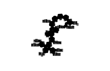 CCCCCCCCCCc1cc(-c2c3cc(-c4sc(-c5cc6c(cc(-c7cc(CCCCCC)c(-c8ccc(-c9ccc(-c%10ccc(-c%11sc(C)cc%11CC(CCCCCC)CCCCCCCC)s%10)s9)s8)s7)c7nsnc76)c6nsnc56)cc4CCCCCC)sc3c(-c3cc(CCCCCCCCCC)c(CCCCCCCCCC)s3)c3cc(C)sc23)sc1CCCCCCCCCC